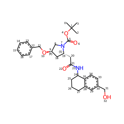 CC(C)(C)OC(=O)N1C[C@H](OCc2ccccc2)C[C@H]1CC(=O)NC1CCCc2cc(CO)ccc21